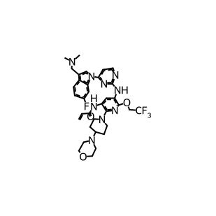 C=CC(=O)Nc1cc(Nc2nccc(-n3cc(CN(C)C)c4ccc(F)cc43)n2)c(OCC(F)(F)F)nc1N1CCC(N2CCOCC2)CC1